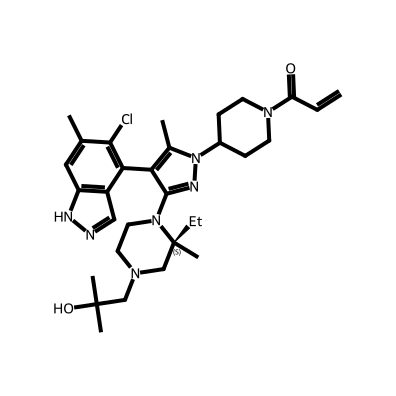 C=CC(=O)N1CCC(n2nc(N3CCN(CC(C)(C)O)C[C@]3(C)CC)c(-c3c(Cl)c(C)cc4[nH]ncc34)c2C)CC1